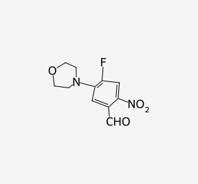 O=Cc1cc(N2CCOCC2)c(F)cc1[N+](=O)[O-]